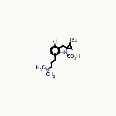 CN(C)CCCc1ccc(Cl)c(CC2(NC(=O)O)CC2C(C)(C)C)c1